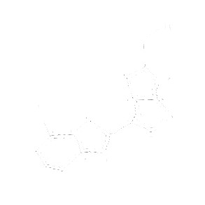 CSc1nn2c(-c3nc4c(O)cccc4o3)cnc2s1